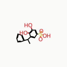 CC(c1ccccc1)c1cc(S(=O)(=O)O)cc(O)c1O